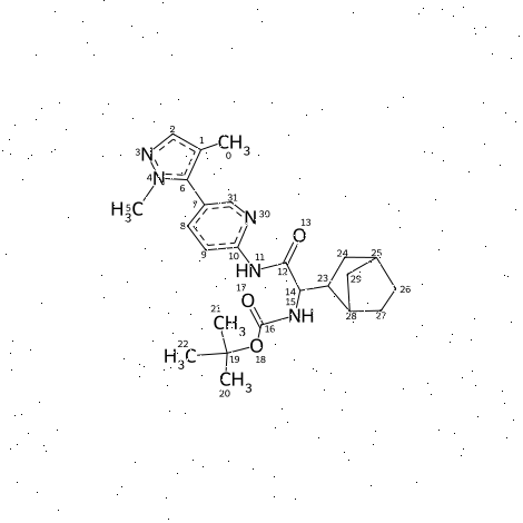 Cc1cnn(C)c1-c1ccc(NC(=O)C(NC(=O)OC(C)(C)C)C2CC3CCC2C3)nc1